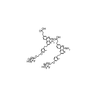 Cc1cc(OCCCC(F)(F)P(=O)(O)O)ccc1CCc1cnc2c(N)nc3cc(CCC(=O)O)ccc3c2c1.Cc1cc(OCCOCCC(F)(F)P(=O)(O)O)ccc1CCc1cnc2c(N)nc3cc(CCC(=O)O)ccc3c2c1